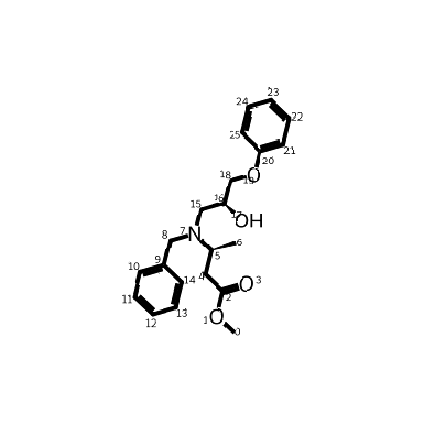 COC(=O)C[C@H](C)N(Cc1ccccc1)C[C@H](O)COc1ccccc1